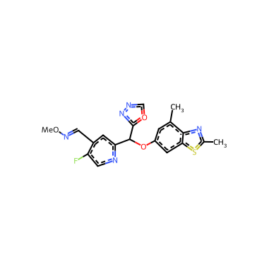 CO/N=C/c1cc(C(Oc2cc(C)c3nc(C)sc3c2)c2nnco2)ncc1F